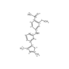 CCc1cc(Nc2nccc(-c3sc(C)nc3C)n2)ccc1C(=O)O